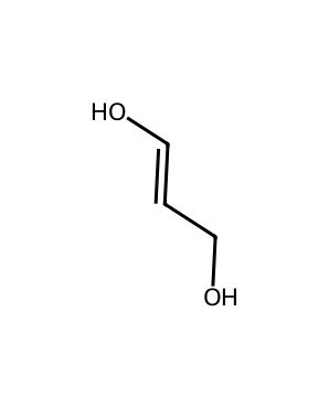 O/C=C/CO